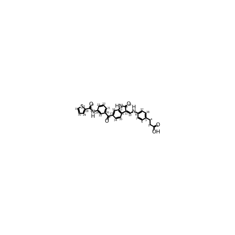 O=C(O)CCc1ccc(NC=C2C(=O)Nc3cc(C(=O)c4cccc(NC(=O)c5cccs5)c4)ccc32)cc1